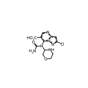 NC(=O)N(c1c(C(=O)O)cnc2cc(Cl)nn12)C1COCCN1